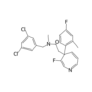 Cc1cc(F)ccc1C1(CC(=O)N(C)Cc2cc(Cl)cc(Cl)c2)C=CC=NC=C1F